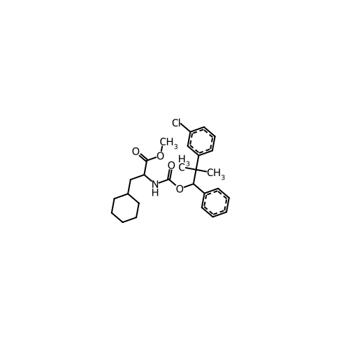 COC(=O)C(CC1CCCCC1)NC(=O)OC(c1ccccc1)C(C)(C)c1cccc(Cl)c1